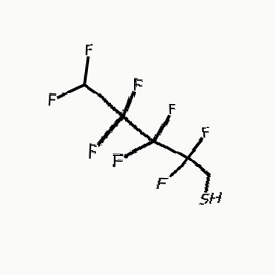 FC(F)C(F)(F)C(F)(F)C(F)(F)CS